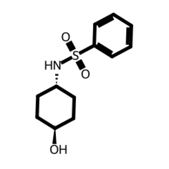 O=S(=O)(N[C@H]1CC[C@H](O)CC1)c1ccccc1